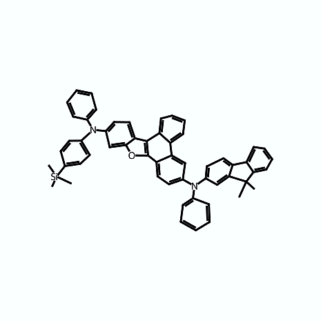 CC1(C)c2ccccc2-c2ccc(N(c3ccccc3)c3ccc4c(c3)c3ccccc3c3c5ccc(N(c6ccccc6)c6ccc([Si](C)(C)C)cc6)cc5oc43)cc21